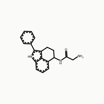 NCC(=O)NC1CCc2c(-c3ccccc3)[nH]c3cccc1c23